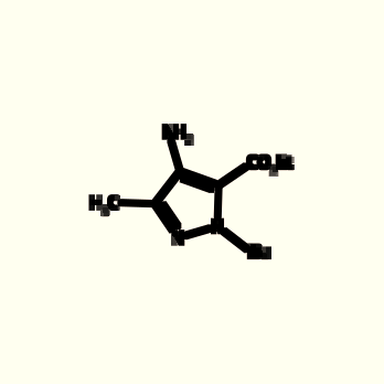 CCOC(=O)c1c(N)c(C)nn1C(C)CC